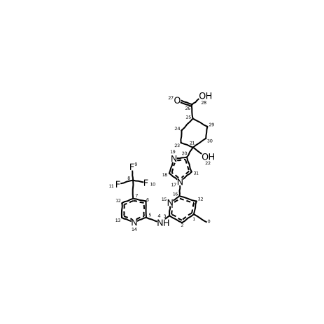 Cc1cc(Nc2cc(C(F)(F)F)ccn2)nc(-n2cnc(C3(O)CCC(C(=O)O)CC3)c2)c1